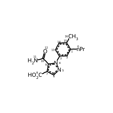 CCCc1cc(-n2ncc(C(=O)O)c2C(N)=O)ccc1C